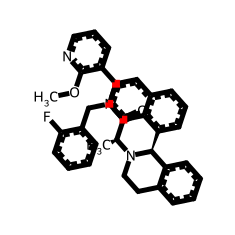 COc1ncccc1CN(Cc1ccccc1F)C(=O)[C@H](C)N1CCc2ccccc2[C@@H]1c1cccc2ccccc12